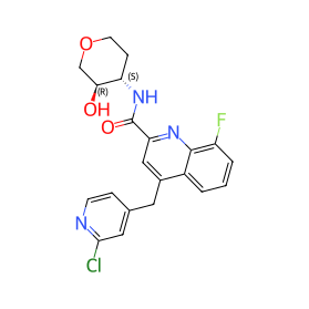 O=C(N[C@H]1CCOC[C@@H]1O)c1cc(Cc2ccnc(Cl)c2)c2cccc(F)c2n1